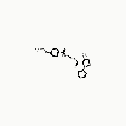 CCOc1ccc(C(=O)NCCNC(=O)c2c(C)cnn2-c2ccccc2)cc1